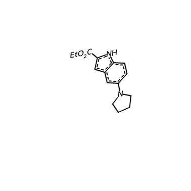 CCOC(=O)c1cc2cc(N3CCCC3)ccc2[nH]1